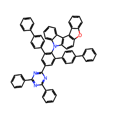 c1ccc(-c2ccc(-c3cc(-c4nc(-c5ccccc5)nc(-c5ccccc5)n4)cc(-c4ccc(-c5ccccc5)cc4)c3-n3c4ccccc4c4c5c(ccc43)oc3ccccc35)cc2)cc1